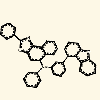 c1ccc(-c2nc3c(cc(N(c4ccccc4)c4cccc(-c5cccc6oc7ccccc7c56)c4)c4ccccc43)o2)cc1